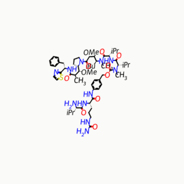 CCC(C)[C@@H]([C@@H](CC(=O)N1CCC[C@H]1[C@H](OC)[C@@H](C)C(=O)N[C@@H](Cc1ccccc1)c1nccs1)OC)N(C)C(=O)[C@@H](NC(=O)[C@H](C(C)C)N(C)C(=O)OCc1ccc(NC(=O)[C@H](CCCNC(N)=O)NC(=O)[C@@H](N)C(C)C)cc1)C(C)C